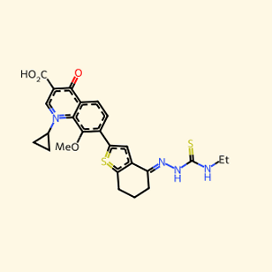 CCNC(=S)N/N=C1\CCCc2sc(-c3ccc4c(=O)c(C(=O)O)cn(C5CC5)c4c3OC)cc21